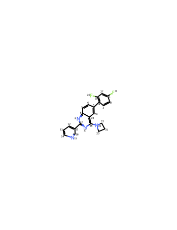 Fc1ccc(-c2ccc3nc(-c4cccnc4)nc(N4CCC4)c3c2)c(F)c1